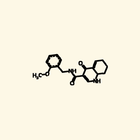 COc1ccccc1CNC(=O)C1=CNC2CCCC=C2C1=O